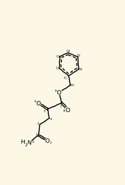 NC(=O)CCC(=O)C(=O)OCc1ccccc1